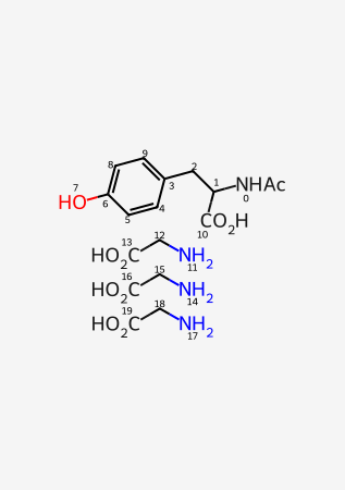 CC(=O)NC(Cc1ccc(O)cc1)C(=O)O.NCC(=O)O.NCC(=O)O.NCC(=O)O